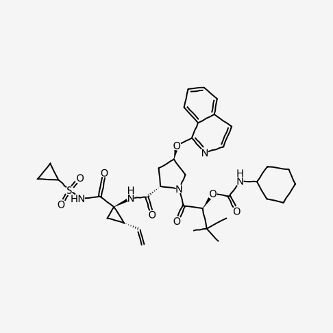 C=C[C@@H]1C[C@]1(NC(=O)[C@@H]1C[C@@H](Oc2nccc3ccccc23)CN1C(=O)[C@@H](OC(=O)NC1CCCCC1)C(C)(C)C)C(=O)NS(=O)(=O)C1CC1